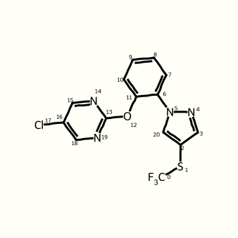 FC(F)(F)Sc1cnn(-c2ccccc2Oc2ncc(Cl)cn2)c1